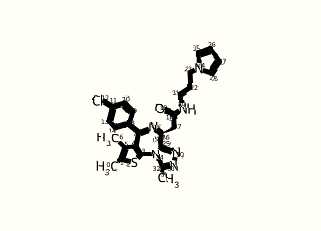 Cc1sc2c(c1C)C(c1ccc(Cl)cc1)=N[C@@H](CC(=O)NCCCn1cccc1)c1nnc(C)n1-2